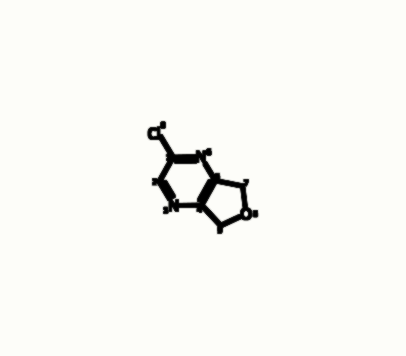 Clc1cnc2c(n1)COC2